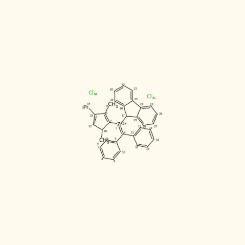 CC1=[C]([Zr+2](=[C](c2ccccc2)c2ccccc2)[CH]2c3ccccc3-c3ccccc32)C(C)C=C1C(C)C.[Cl-].[Cl-]